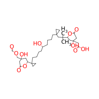 CC(C)(CC1(CCCCC(O)CCCCC2(C3CC(O)(COC=O)CC(=O)O3)CC2)CC1)C1CC(O)(CC(=O)O)CC(=O)O1